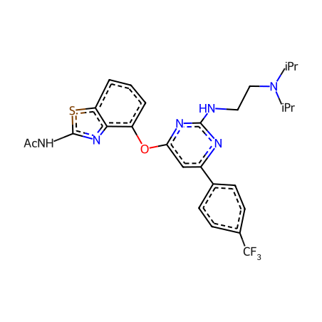 CC(=O)Nc1nc2c(Oc3cc(-c4ccc(C(F)(F)F)cc4)nc(NCCN(C(C)C)C(C)C)n3)cccc2s1